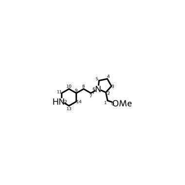 COCC1CCCN1[CH]CC1CCNCC1